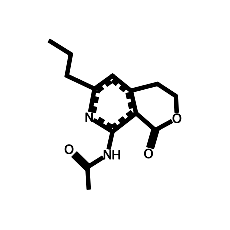 CCCc1cc2c(c(NC(C)=O)n1)C(=O)OCC2